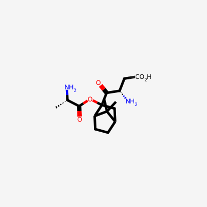 C[C@H](N)C(=O)OC1(C(=O)[C@@H](N)CC(=O)O)CC2CCC1C2(C)C